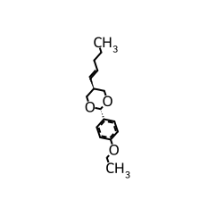 CCCC=C[C@H]1CO[C@H](c2ccc(OCC)cc2)OC1